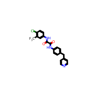 O=C(Nc1ccc(Cc2ccncc2)cc1)C(=O)Nc1ccc(Cl)c(C(F)(F)F)c1